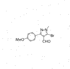 COc1ccc(-c2nn(C)c(Br)c2C=O)cc1